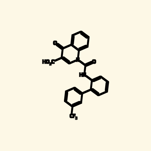 O=C(O)c1cn(C(=O)Nc2ccccc2-c2cccc(C(F)(F)F)c2)c2ccccc2c1=O